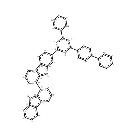 c1ccc(-c2ccc(-c3nc(-c4ccccc4)nc(-c4ccc5c(c4)oc4c(-c6cccc7c6sc6ccccc67)cccc45)n3)cc2)cc1